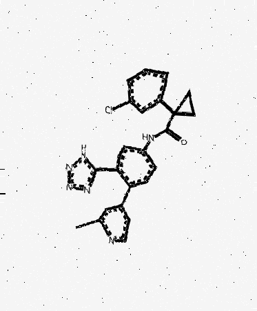 Cc1cc(-c2ccc(NC(=O)C3(c4cccc(Cl)c4)CC3)cc2-c2nnn[nH]2)ccn1